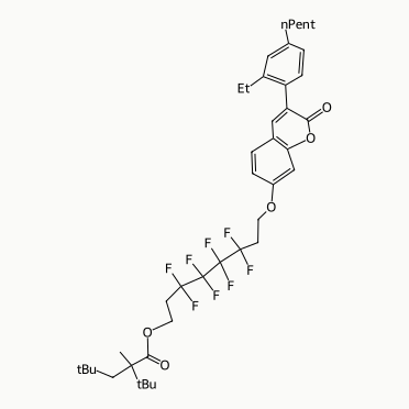 CCCCCc1ccc(-c2cc3ccc(OCCC(F)(F)C(F)(F)C(F)(F)C(F)(F)CCOC(=O)C(C)(CC(C)(C)C)C(C)(C)C)cc3oc2=O)c(CC)c1